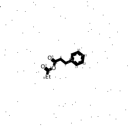 CCC(=O)OC(=O)CCc1ccccc1